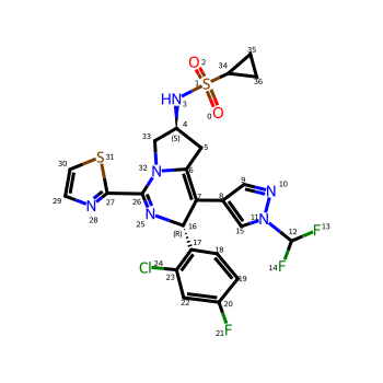 O=S(=O)(N[C@H]1CC2=C(c3cnn(C(F)F)c3)[C@H](c3ccc(F)cc3Cl)N=C(c3nccs3)N2C1)C1CC1